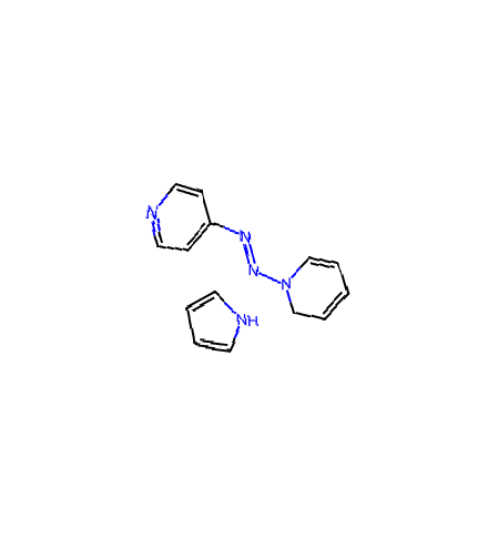 C1=CCN(N=Nc2ccncc2)C=C1.c1cc[nH]c1